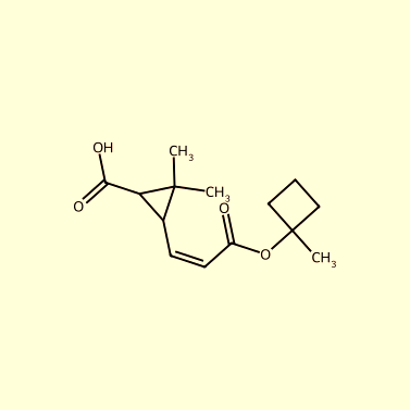 CC1(OC(=O)/C=C\C2C(C(=O)O)C2(C)C)CCC1